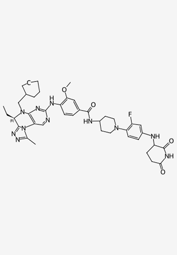 CC[C@@H]1c2nnc(C)n2-c2cnc(Nc3ccc(C(=O)NC4CCN(c5ccc(NC6CCC(=O)NC6=O)cc5F)CC4)cc3OC)nc2N1CC1CCCCC1